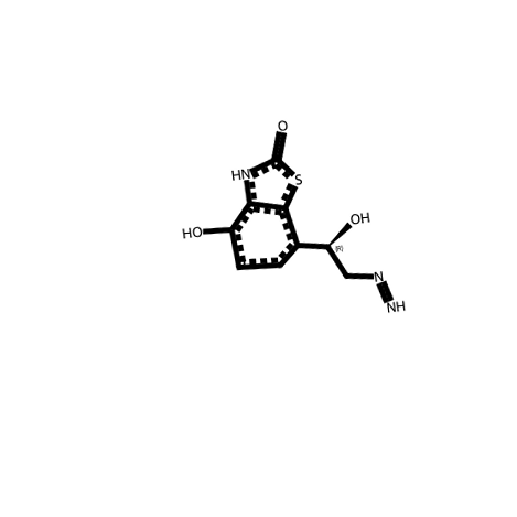 N=NC[C@H](O)c1ccc(O)c2[nH]c(=O)sc12